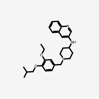 CCOc1cc(CN2CCC(Nc3cnc4ccccc4c3)CC2)ccc1OCC(C)C